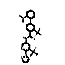 CN(C)c1ccccc1-c1ccc(C(=O)Nc2cnc(-n3nccn3)c(C(F)(F)F)c2)c(C(F)(F)F)c1